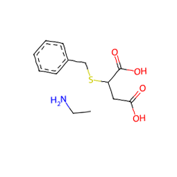 CCN.O=C(O)CC(SCc1ccccc1)C(=O)O